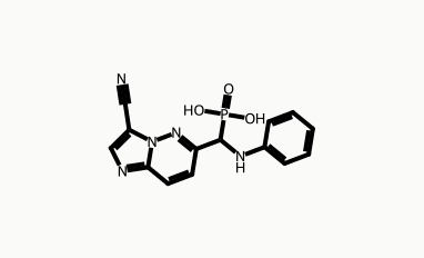 N#Cc1cnc2ccc(C(Nc3ccccc3)P(=O)(O)O)nn12